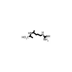 CC(CCCNC(=N)N)NC(C)C(=O)O